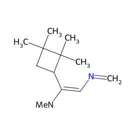 C=N/C=C(/NC)C1CC(C)(C)C1(C)C